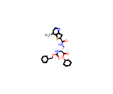 Cc1ccnc2cc(C(=O)NC[C@@H](NC(=O)OCc3ccccc3)C(=O)Oc3ccccc3)sc12